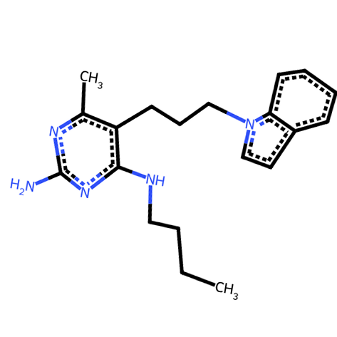 CCCCNc1nc(N)nc(C)c1CCCn1ccc2ccccc21